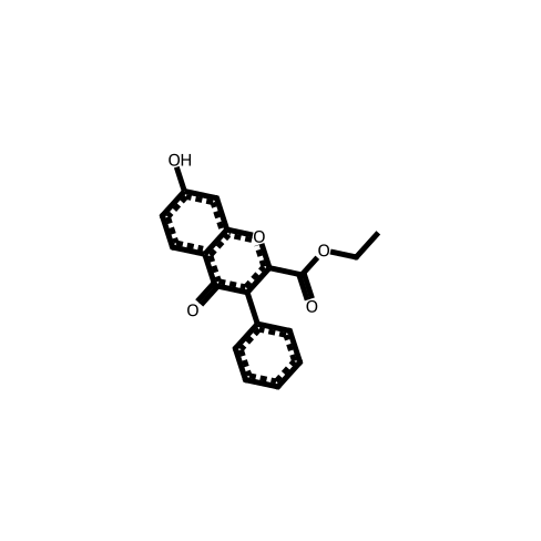 CCOC(=O)c1oc2cc(O)ccc2c(=O)c1-c1ccccc1